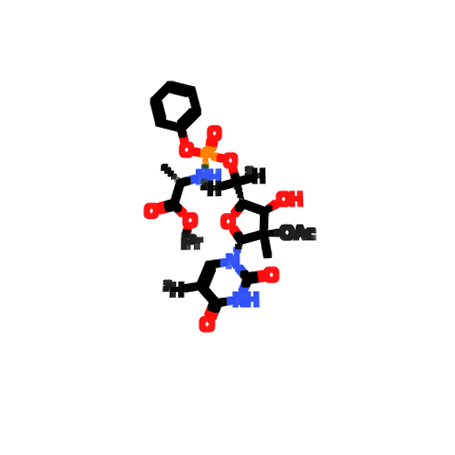 [2H]c1cn([C@@H]2O[C@H](C([2H])([2H])O[P@@](=O)(N[C@@H](C)C(=O)OC(C)C)Oc3ccccc3)[C@@H](O)[C@@]2(C)OC(C)=O)c(=O)[nH]c1=O